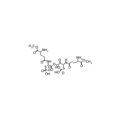 COC(=O)C(N)CCC(=O)N[C@H](SP(=O)(O)O)C(=O)OOC(=O)[C@@H](NC(=O)CCC(N)C(=O)OC)SP(=O)(O)O